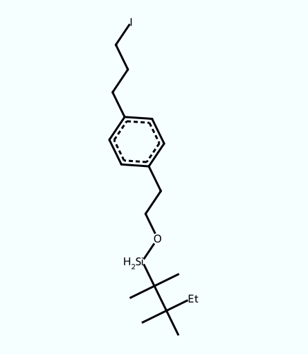 CCC(C)(C)C(C)(C)[SiH2]OCCc1ccc(CCCI)cc1